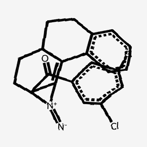 [N-]=[N+]1C2=C3c4ccccc4CCC3CCC21C(=O)c1cc(Cl)cc(Cl)c1